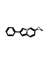 COc1ccc2cc(-c3ccccc3)cn2c1